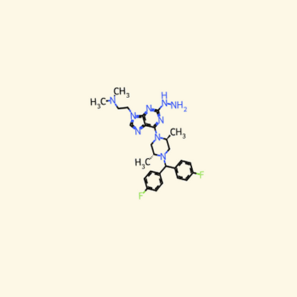 C[C@@H]1CN(c2nc(NN)nc3c2ncn3CCN(C)C)[C@@H](C)CN1C(c1ccc(F)cc1)c1ccc(F)cc1